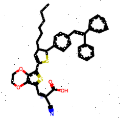 CCCCCCC1C=C(c2sc(/C=C(/C#N)C(=O)O)c3c2OCCO3)SC1c1ccc(C=C(c2ccccc2)c2ccccc2)cc1